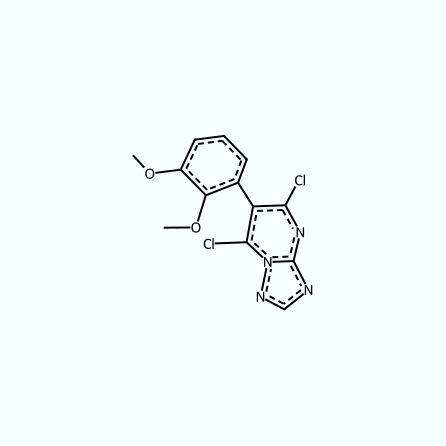 COc1cccc(-c2c(Cl)nc3ncnn3c2Cl)c1OC